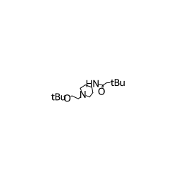 CC(C)(C)CC(=O)NC1CCN(CCOC(C)(C)C)CC1